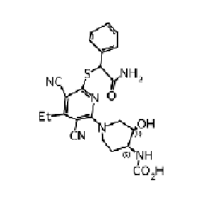 CCc1c(C#N)c(SC(C(N)=O)c2ccccc2)nc(N2CC[C@H](NC(=O)O)[C@H](O)C2)c1C#N